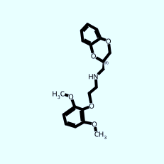 COc1cccc(OC)c1OCCNC[C@@H]1COc2ccccc2O1